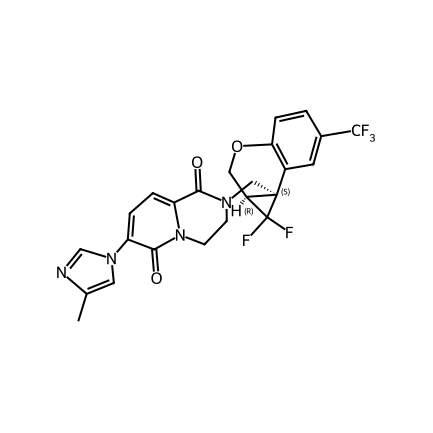 Cc1cn(-c2ccc3n(c2=O)CCN(C[C@@]24c5cc(C(F)(F)F)ccc5OC[C@@H]2C4(F)F)C3=O)cn1